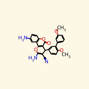 COc1cccc(-c2cc(C3C(C#N)=C(N)Oc4c3c(=O)oc3ccc(N)cc43)ccc2OC)c1